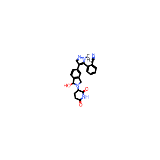 Cn1ncc(-c2ccc3c(c2)CN(C2CCC(=O)NC2=O)C3O)c1-c1ccccc1C#N